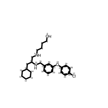 OCCCCNCC(CC1CCCCC1)NCc1cccc(Oc2ccc(Cl)cc2)c1